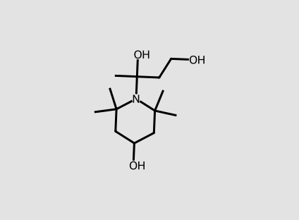 CC1(C)CC(O)CC(C)(C)N1C(C)(O)CCO